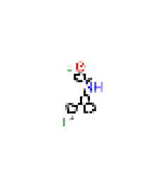 COc1cc([C@@H](C)NCc2cc(-c3cccc(CF)c3)c3ccccc3c2)ccc1F